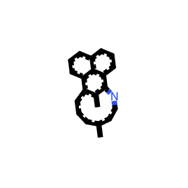 C=c1cccc2c(=C)c(ncc1)c1cccc3cccc2c31